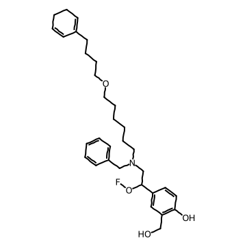 OCc1cc(C(CN(CCCCCCOCCCCC2=CCCC=C2)Cc2ccccc2)OF)ccc1O